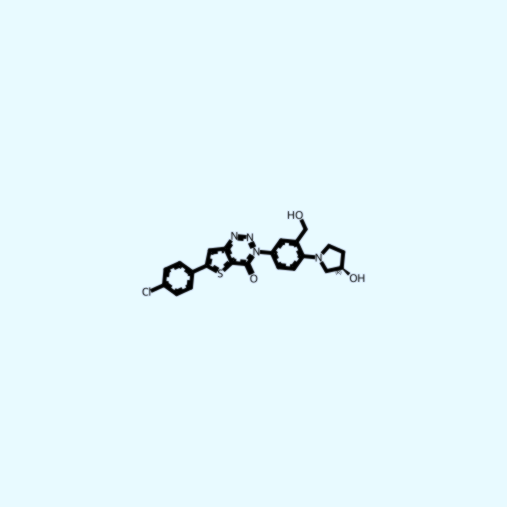 O=c1c2sc(-c3ccc(Cl)cc3)cc2nnn1-c1ccc(N2CC[C@@H](O)C2)c(CO)c1